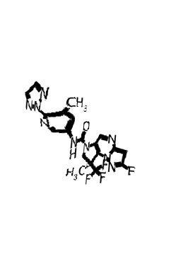 Cc1cc(NC(=O)N2C[C@](C)(C(F)(F)F)c3c2cnc2cc(F)nn32)cnc1-n1nccn1